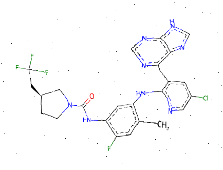 Cc1cc(F)c(NC(=O)N2CC[C@@H](CC(F)(F)F)C2)cc1Nc1ncc(Cl)cc1-c1ncnc2[nH]cnc12